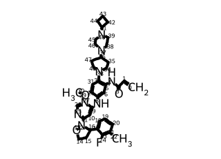 C=CC(=O)Nc1cc(Nc2cc(N3OCCC3c3cccc(C)c3F)ncn2)c(OC)cc1N1CCC(N2CCN(C3CCC3)CC2)CC1